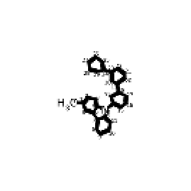 Cc1ccc2c(c1)c1ccccc1n2-c1cccc(-c2cccc(-c3ccccc3)c2)c1